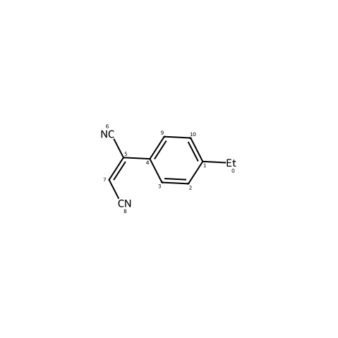 CCc1ccc(/C(C#N)=C\C#N)cc1